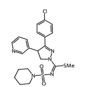 CSC(=NS(=O)(=O)N1CCCCC1)N1CC(c2cccnc2)C(c2ccc(Cl)cc2)=N1